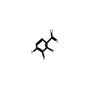 Fc1ccc(C(=S)Cl)c(F)c1F